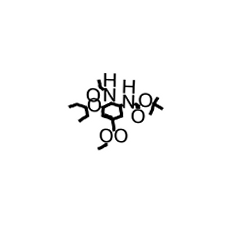 CCOC(=O)C1=C[C@@H](OC(CC)CC)[C@H](NC(C)=O)C(NC(=O)OC(C)(C)C)C1